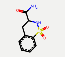 NC(=O)C1Cc2ccccc2S(=O)(=O)N1